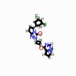 O=c1n2c(nn1[C@H]1C[C@H](Oc3ncnn4cccc34)C1)CC[C@H]2c1cc(F)cc(F)c1